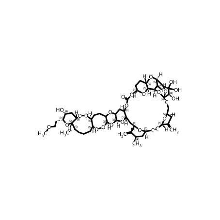 C=C1C[C@@H]2CC[C@]34OC([C@@H]5O[C@H]6CC[C@H](CC(=O)O[C@@H]7CC8OC9CC[C@@H]%10OO[C@H]%11C[C@@H](O)[C@@H](CCOC)O[C@H]%11[C@@H](C)CCC[C@@H]%10OO[C@@H]9O[C@@H]8O[C@H]7C[C@H]7O[C@@H](CC[C@@H]1O2)C[C@@H](C)C7=C)O[C@@H]6[C@H](O3)[C@@H]5I)C(O)(O)[C@H]4O